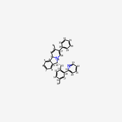 CC1=CC2c3ccccc3[C@@H](Cc3ccc(C)cc3-c3ccccn3)N2C=C1c1ccccc1